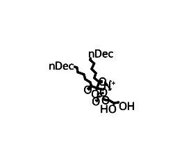 CCCCCCCCCCCCCCCC(=O)C(C[N+](C)(C)C)(OP(=O)([O-])OC[C@H](O)CO)C(=O)CCCCCCCCCCCCCCC